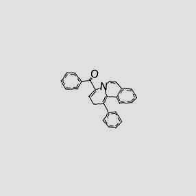 O=C(C1=CCC(c2ccccc2)=C2c3ccccc3C=CN12)c1ccccc1